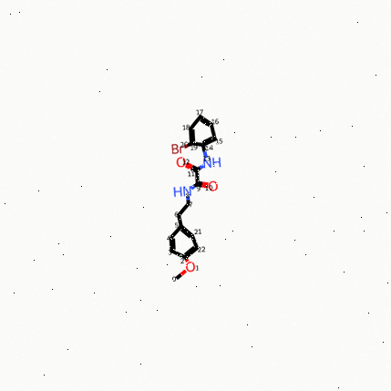 COc1ccc(CCNC(=O)C(=O)Nc2ccccc2Br)cc1